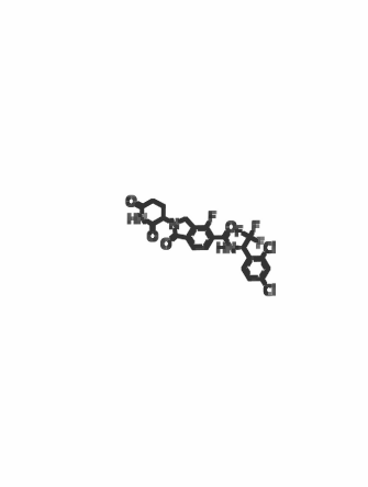 O=C1CCC(N2Cc3c(ccc(C(=O)N[C@H](c4ccc(Cl)cc4Cl)C(F)(F)F)c3F)C2=O)C(=O)N1